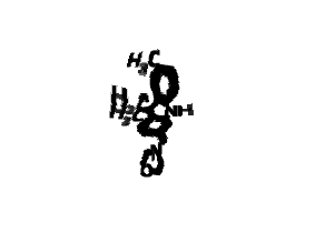 Cc1ccc2c(c1)C(C)(C)c1ccc(CN3CCOCC3)cc1N2